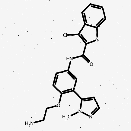 Cn1nccc1-c1cc(NC(=O)c2sc3ccccc3c2Cl)ccc1OCCN